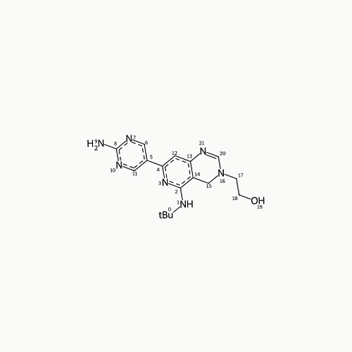 CC(C)(C)Nc1nc(-c2cnc(N)nc2)cc2c1CN(CCO)C=N2